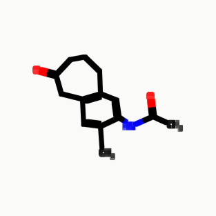 CC(=O)Nc1cc2c(cc1C)CC(=O)CCC2